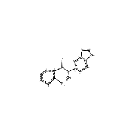 O=C(c1ccccc1F)C(O)c1ccc2c(c1)OCO2